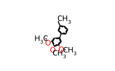 CCc1cccc(-c2cc(OC)c(OC)c(OC)c2)c1